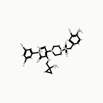 CC1(COc2c(N3CCN(S(=O)(=O)Cc4ccc(N)c(F)c4)CC3)cnn(-c3cc(F)cc(F)c3)c2=O)CC1